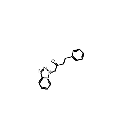 O=C(CCc1ccccc1)Cn1nnc2ccccc21